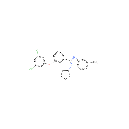 O=C(O)c1ccc2c(c1)nc(-c1cccc(Oc3cc(Cl)cc(Cl)c3)c1)n2C1CCCC1